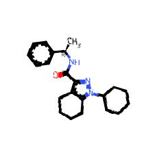 C[C@@H](NC(=O)c1nn(C2CCCCC2)c2c1CCCC2)c1ccccc1